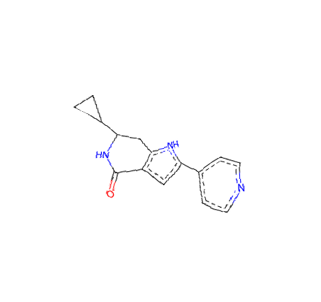 O=C1NC(C2CC2)Cc2[nH]c(-c3ccncc3)cc21